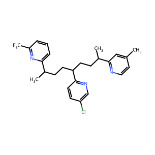 Cc1ccnc(C(C)CCC(CCC(C)c2cccc(C(F)(F)F)n2)c2ccc(Cl)cn2)c1